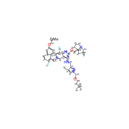 CCc1c(F)ccc2cc(OCOC)cc(-c3ncc4c(NCc5nn(COCC[Si](C)(C)C)cc5C)nc(OC[C@@]56CCCN5C[C@H](F)C6)nc4c3F)c12